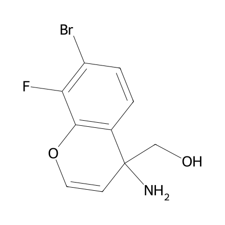 NC1(CO)C=COc2c1ccc(Br)c2F